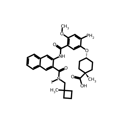 COc1cc(P)c(O[C@H]2CC[C@@](C)(C(=O)O)CC2)cc1C(=O)Nc1cc2ccccc2cc1C(=O)N(I)CC1(C)CCC1